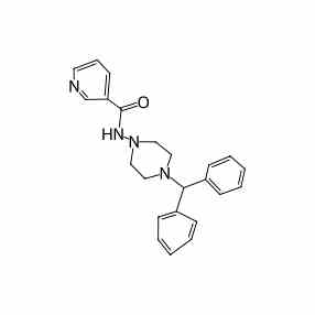 O=C(NN1CCN(C(c2ccccc2)c2ccccc2)CC1)c1cccnc1